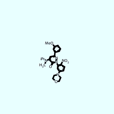 COc1cccc(-c2cc(N(C)C(C)C)c(=O)n(-c3cc(N4CCOCC4)ccc3[N+](=O)[O-])n2)c1